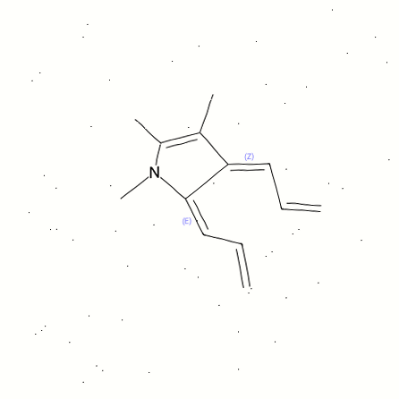 C=C/C=c1/c(C)c(C)n(C)/c1=C/C=C